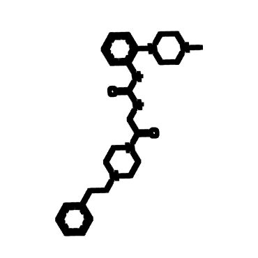 CN1CCN(c2ccccc2[N]C(=O)[N]CC(=O)N2CCN(CCc3ccccc3)CC2)CC1